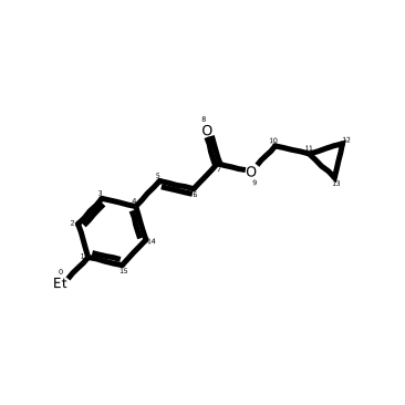 CCc1ccc(/C=C/C(=O)OCC2CC2)cc1